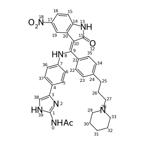 CC(=O)Nc1nc(-c2ccc(NC(=C3C(=O)Nc4ccc([N+](=O)[O-])cc43)c3ccc(CCCN4CCCCC4)cc3)cc2)c[nH]1